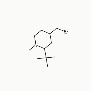 CN1CCC(CBr)CC1C(C)(C)C